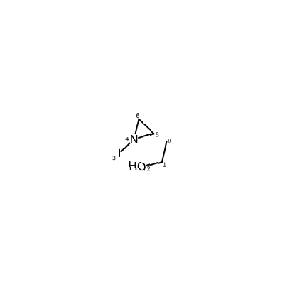 CCO.IN1CC1